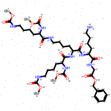 CC(C)(C)OC(=O)NCCCCC(NC(=O)OC(C)(C)C)C(=O)NCCCCC(NC(=O)C(CCCCNC(=O)OC(C)(C)C)NC(=O)OC(C)(C)C)C(=O)NC(CCCCN)C(=O)NCC(=O)OCc1ccccc1